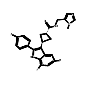 Cn1cncc1CNC(=O)[C@H]1C[C@H](c2c(-c3ccc(F)cc3)[nH]c3c(F)cc(F)cc32)C1